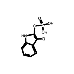 O=P(O)(O)Oc1[nH]c2ccccc2c1Cl